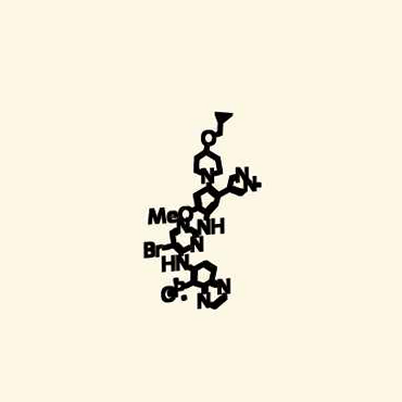 COc1cc(N2CCC(OCC3CC3)CC2)c(-c2cnn(C)c2)cc1Nc1ncc(Br)c(Nc2ccc3nccnc3c2P(C)(C)=O)n1